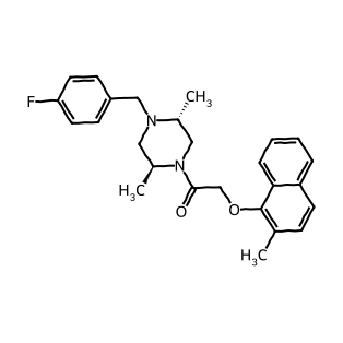 Cc1ccc2ccccc2c1OCC(=O)N1C[C@@H](C)N(Cc2ccc(F)cc2)C[C@@H]1C